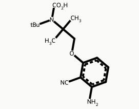 CC(C)(C)N(C(=O)O)C(C)(C)COc1cccc(N)c1C#N